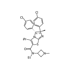 CCN(C(=O)C1=C(C(C)C)N2C(=N[C@@](C)(c3ccc(Cl)cc3)[C@H]2c2ccc(Cl)cc2)S1)C1CN(C)C1